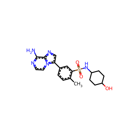 Cc1ccc(-c2cnc3c(N)nccn23)cc1S(=O)(=O)NC1CCC(O)CC1